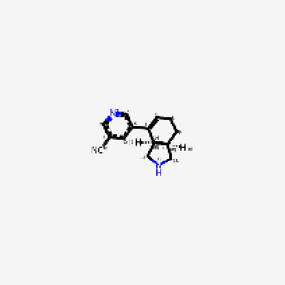 N#Cc1cncc(C2=CCC[C@H]3CNC[C@@H]23)c1